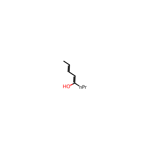 CC=CC=C(O)CCC